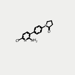 Nc1nc(Cl)ccc1-c1ccc(N2CCCC2=O)cc1